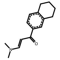 CN(C)/C=C/C(=O)c1ccc2c(c1)CCCC2